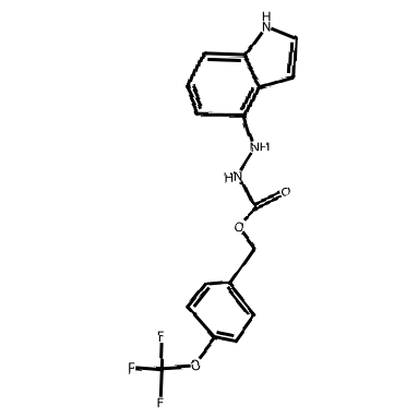 O=C(NNc1cccc2[nH]ccc12)OCc1ccc(OC(F)(F)F)cc1